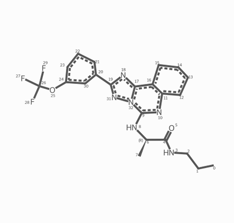 CCCNC(=O)[C@@H](C)Nc1nc2ccccc2c2nc(-c3cccc(OC(F)(F)F)c3)nn12